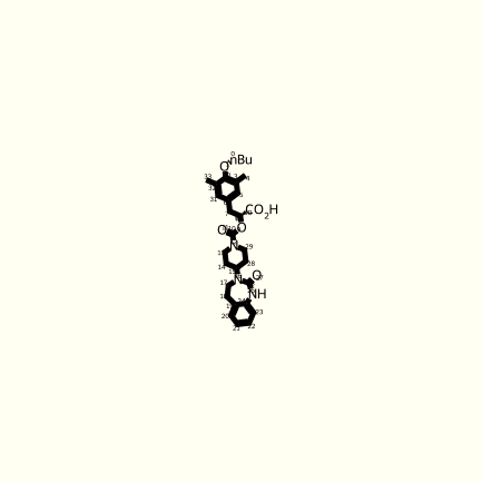 CCCCOc1c(C)cc(C[C@H](OC(=O)N2CCC(N3CCc4ccccc4NC3=O)CC2)C(=O)O)cc1C